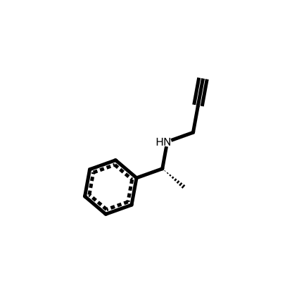 C#CCN[C@H](C)c1ccccc1